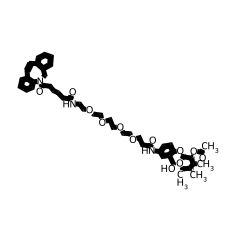 CC(=O)O[C@H]1C(C)[C@H](C)C(C)O[C@H]1Oc1ccc(NC(=O)CCOCCOCCOCCOCCNC(=O)CCCCC(=O)N2Cc3ccccc3C#Cc3ccccc32)cc1CO